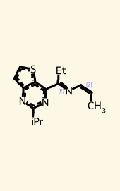 C/C=C\N=C(/CC)c1nc(C(C)C)nc2ccsc12